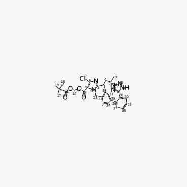 CCCCc1nc(Cl)c(C(=O)OCOC(=O)C(C)(C)C)n1Cc1ccc(-c2ccccc2-c2nnn[nH]2)cc1